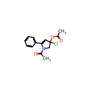 CC(=O)OC1(Cl)C=C(c2ccccc2)N(C(C)=O)C1